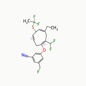 CCC1=CC(SC(C)(F)F)/C=C\C/C(Oc2cc(C#N)cc(CF)c2)=C(/C(F)F)C1